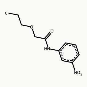 O=C(COCCCl)Nc1cccc([N+](=O)[O-])c1